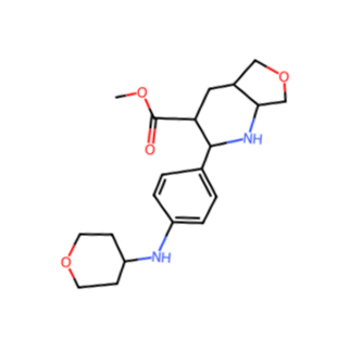 COC(=O)C1CC2COCC2NC1c1ccc(NC2CCOCC2)cc1